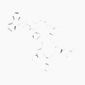 CC(C)(C)OC(=O)CN1CCN(CC(=O)OC(C)(C)C)CCN(CC(=O)OC(C)(C)C)C(Cc2ccc(NC(=O)[C@H](CCCN)NCC3c4ccccc4-c4ccccc43)cc2)CN(CC(=O)OC(C)(C)O)CC1